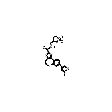 O=C(NCC1CCS(=O)(=O)C1)c1nc2c(s1)CCOc1cc(-c3cn[nH]c3)ccc1-2